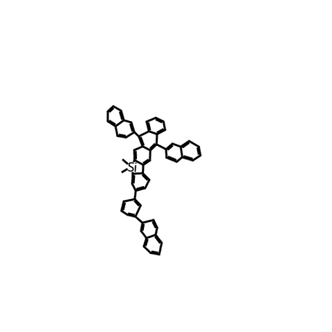 C[Si]1(C)c2cc(-c3cccc(-c4ccc5ccccc5c4)c3)ccc2-c2cc3c(-c4ccc5ccccc5c4)c4ccccc4c(-c4ccc5ccccc5c4)c3cc21